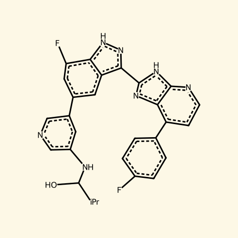 CC(C)C(O)Nc1cncc(-c2cc(F)c3[nH]nc(-c4nc5c(-c6ccc(F)cc6)ccnc5[nH]4)c3c2)c1